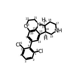 Clc1cccc(Cl)c1-c1cc2c3c(c1)[C@@H]1CNCC[C@@H]1N3CCO2